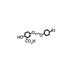 CCc1ccc(OCCOc2ccc(O)c(C(=O)O)c2)cc1